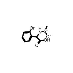 C[S+]([O-])NC(C(=O)O)c1ccccc1Br